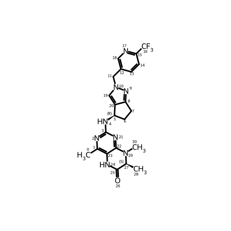 Cc1nc(N[C@@H]2CCc3nn(Cc4ccc(C(F)(F)F)nc4)cc32)nc2c1NC(=O)[C@H](C)N2C